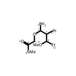 BC(OCC(=O)NC)C(C(C)C)C(CC)OC